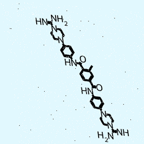 Cc1cc(C(=O)Nc2ccc(N3CCN(C(=N)N)CC3)cc2)ccc1C(=O)Nc1ccc(N2CCN(C(=N)N)CC2)cc1